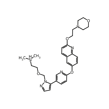 C[SiH](C)CCOCn1nccc1-c1ccc(Oc2ccc3nc(OCCN4CCOCC4)ccc3c2)nc1